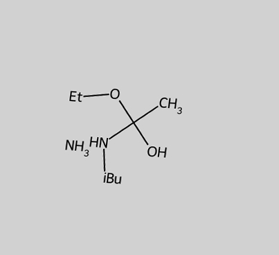 CCOC(C)(O)NC(C)CC.N